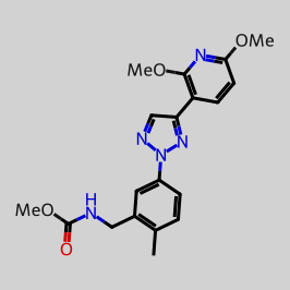 COC(=O)NCc1cc(-n2ncc(-c3ccc(OC)nc3OC)n2)ccc1C